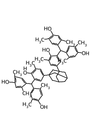 Cc1cc(C(c2cc(C)c(O)cc2C)c2cc(C34CC5CC(C3)CC(c3cc(C)c(O)c(C(c6cc(C)c(O)cc6C)c6cc(C)c(O)cc6C)c3)(C5)C4)cc(C)c2O)c(C)cc1O